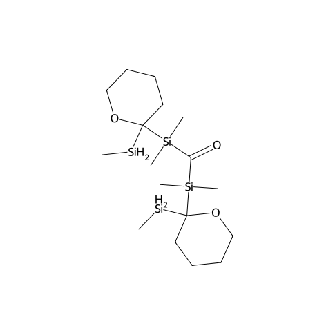 C[SiH2]C1([Si](C)(C)C(=O)[Si](C)(C)C2([SiH2]C)CCCCO2)CCCCO1